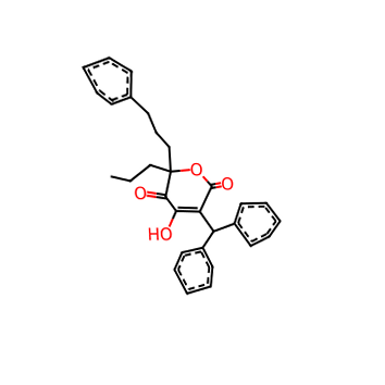 CCCC1(CCCc2ccccc2)OC(=O)C(C(c2ccccc2)c2ccccc2)=C(O)C1=O